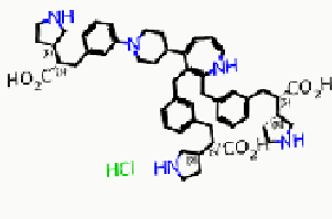 Cl.O=C(O)[C@@H](Cc1cccc(CC2=C(Cc3cccc(C[C@H](C(=O)O)[C@H]4CCNC4)c3)C(C3CCN(c4cccc(C[C@H](C(=O)O)[C@H]5CCNC5)c4)CC3)=CC=CN2)c1)[C@H]1CCNC1